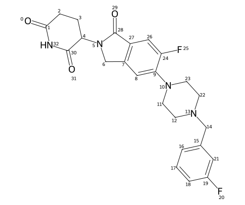 O=C1CCC(N2Cc3cc(N4CCN(Cc5cccc(F)c5)CC4)c(F)cc3C2=O)C(=O)N1